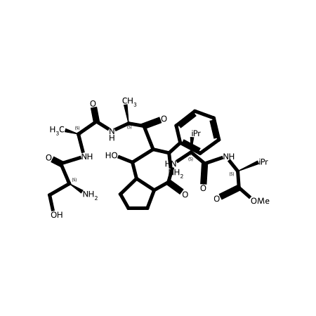 COC(=O)[C@@H](NC(=O)[C@@H](NC(=O)C1CCCC1C(O)C(C(=O)[C@H](C)NC(=O)[C@H](C)NC(=O)[C@@H](N)CO)C(N)c1ccccc1)C(C)C)C(C)C